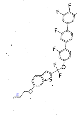 C/C=C/COc1ccc2cc(C(F)(F)Oc3ccc(-c4ccc(-c5cc(F)c(F)c(F)c5)c(F)c4)c(F)c3)sc2c1